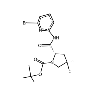 CC(C)(C)OC(=O)N1C[C@](C)(F)C[C@H]1C(=O)Nc1cccc(Br)n1